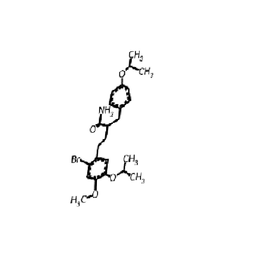 COc1cc(Br)c(CCC(Cc2ccc(OC(C)C)cc2)C(N)=O)cc1OC(C)C